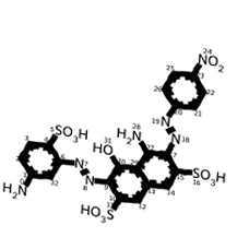 Nc1ccc(S(=O)(=O)O)c(N=Nc2c(S(=O)(=O)O)cc3cc(S(=O)(=O)O)c(N=Nc4ccc([N+](=O)[O-])cc4)c(N)c3c2O)c1